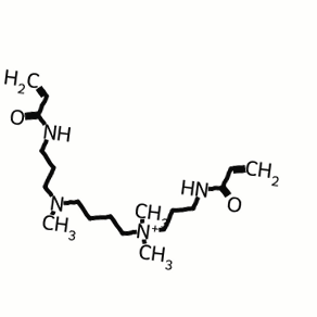 C=CC(=O)NCCCN(C)CCCC[N+](C)(C)CCCNC(=O)C=C